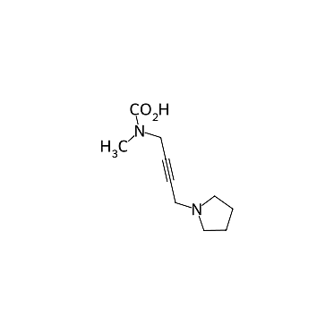 CN(CC#CCN1CCCC1)C(=O)O